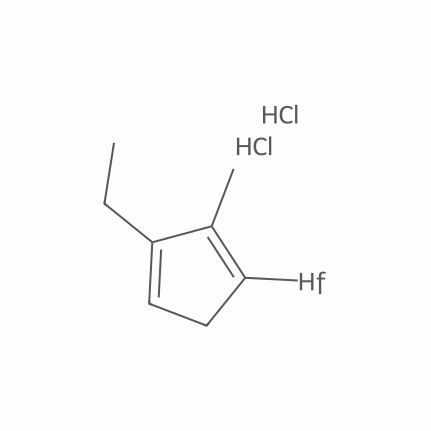 CCC1=CC[C]([Hf])=C1C.Cl.Cl